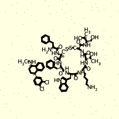 CC(O)[C@@H]1NC(=O)[C@H](CCCCN)NC(=O)[C@@H](Cc2c[nH]c3ccccc23)NC(=O)[C@H](Cc2ccccc2)NC(=O)[C@@H](NC(=O)[C@H](N)Cc2ccccc2)CSSC[C@@H](C(=O)N[C@H](CO)[C@@H](C)O)NC1=O.CN[C@H]1CC[C@@H](c2ccc(Cl)c(Cl)c2)c2ccccc21